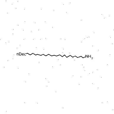 CCCCCCCCCCCCCCCCCCCCCCCCCCCCCCCCN